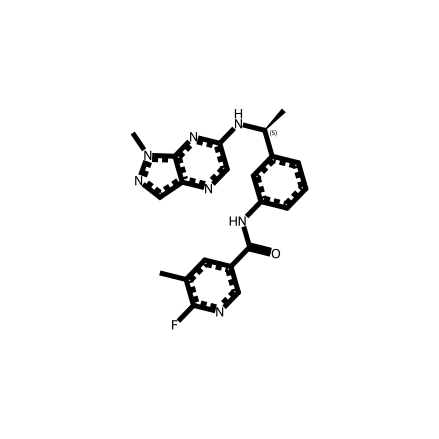 Cc1cc(C(=O)Nc2cccc([C@H](C)Nc3cnc4cnn(C)c4n3)c2)cnc1F